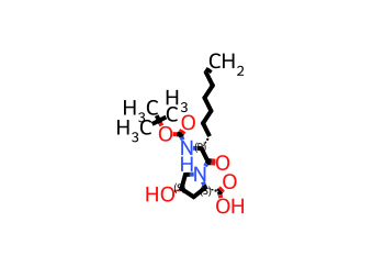 C=CCCCCC[C@@H](NC(=O)OC(C)(C)C)C(=O)N1C[C@@H](O)C[C@H]1C(=O)O